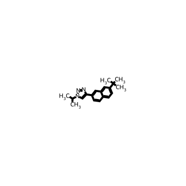 CC(C)n1cc(-c2ccc3ccc(C(C)(C)C)cc3c2)nn1